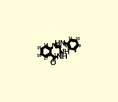 O=C1NNC(Nc2ccccc2)=Nc2ccccc21